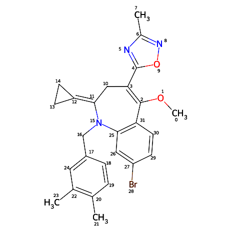 COC1=C(c2nc(C)no2)CC(=C2CC2)N(Cc2ccc(C)c(C)c2)c2cc(Br)ccc21